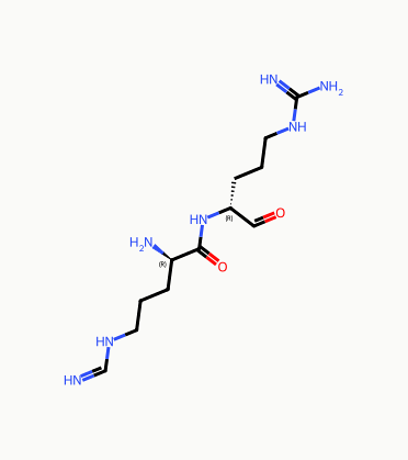 N=CNCCC[C@@H](N)C(=O)N[C@@H](C=O)CCCNC(=N)N